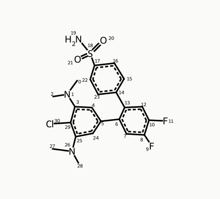 CN(C)c1cc(-c2cc(F)c(F)cc2-c2ccc(S(N)(=O)=O)cc2)cc(N(C)C)c1Cl